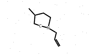 C=CCN1CCC(C)CC1